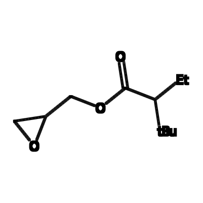 CCC(C(=O)OCC1CO1)C(C)(C)C